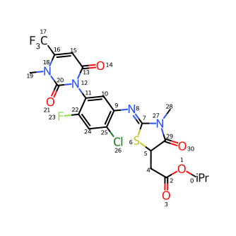 CC(C)OC(=O)CC1SC(=Nc2cc(-n3c(=O)cc(C(F)(F)F)n(C)c3=O)c(F)cc2Cl)N(C)C1=O